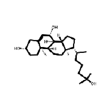 CC(CCCC(C)(C)O)[C@H]1CC[C@H]2[C@@H]3[C@@H](O)C=C4C[C@@H](O)CC[C@]4(C)[C@H]3CC[C@]12C